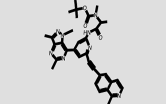 Cc1nc(-c2cc(C#Cc3ccc4c(C)nccc4c3)nc(NC(=O)C(C)N(C)C(=O)OC(C)(C)C)c2)c2c(n1)c(C)nn2C